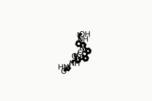 COc1nc(-c2cccc(-c3cccc(-c4ccc5c(n4)CCC[C@@H]5NC[C@@H](C)O)c3Cl)c2Cl)ccc1CNC[C@@H]1CCC(=O)N1